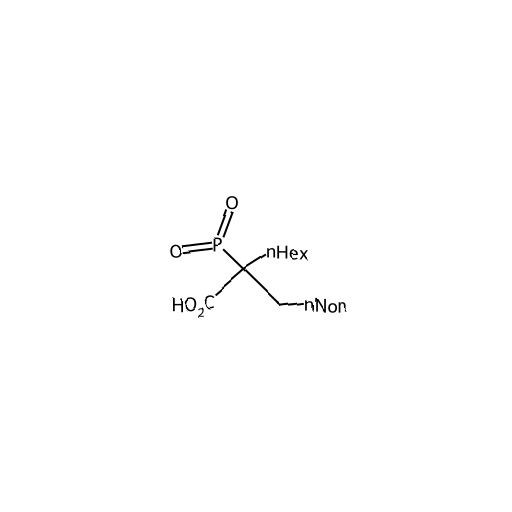 CCCCCCCCCCC(CCCCCC)(C(=O)O)P(=O)=O